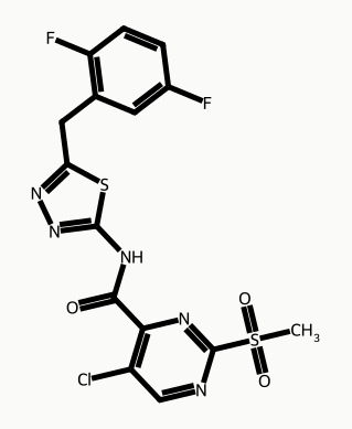 CS(=O)(=O)c1ncc(Cl)c(C(=O)Nc2nnc(Cc3cc(F)ccc3F)s2)n1